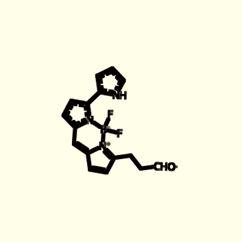 O=[C]CCC1=[N+]2C(=Cc3ccc(-c4ccc[nH]4)n3[B-]2(F)F)C=C1